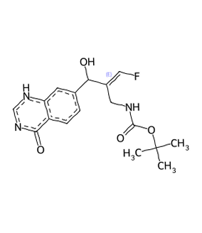 CC(C)(C)OC(=O)NC/C(=C\F)C(O)c1ccc2c(=O)nc[nH]c2c1